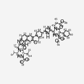 CC[C@H](C)N(C(=O)[C@@H](NC(=O)OC)C(C)C)[C@@H](C)c1nc2ccc3cc4c(cc3c2[nH]1)OCc1cc(-c2cnc([C@H](C)N(C[C@H](C)COC)C(=O)[C@@H](NC(=O)OC)c3ccccc3)[nH]2)ccc1-4